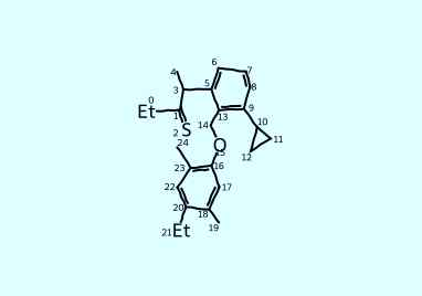 CCC(=S)C(C)c1cccc(C2CC2)c1COc1cc(C)c(CC)cc1C